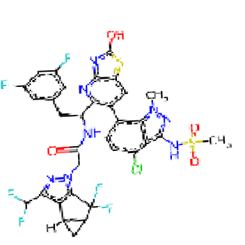 Cn1nc(NS(C)(=O)=O)c2c(Cl)ccc(-c3cc4sc(O)nc4nc3[C@H](Cc3cc(F)cc(F)c3)NC(=O)Cn3nc(C(F)F)c4c3C(F)(F)C3C[C@H]43)c21